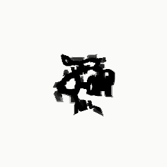 Nc1ccccc1O.O=C1C=CC(=O)N1